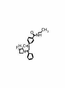 CCCNC(=O)c1ccc(N(C)C[C@@H](c2ccccc2)N2CC[C@H](F)C2)cc1